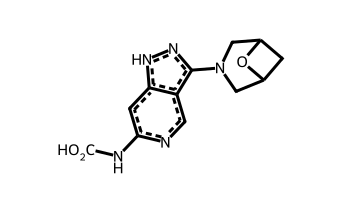 O=C(O)Nc1cc2[nH]nc(N3CC4CC(C3)O4)c2cn1